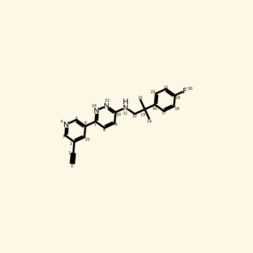 C#Cc1cncc(-c2ccc(NCC(C)(C)c3ccc(F)cc3)nn2)c1